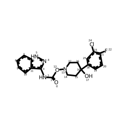 O=C(Nc1n[nH]c2ccccc12)ON1CCC(O)(c2ccc(F)c(Cl)c2)CC1